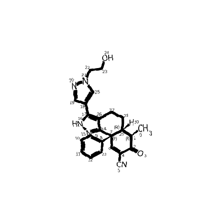 C[C@H]1C(=O)C(C#N)=C[C@]2(c3ccccc3)c3n[nH]c(-c4cnn(CCO)c4)c3CC[C@H]12